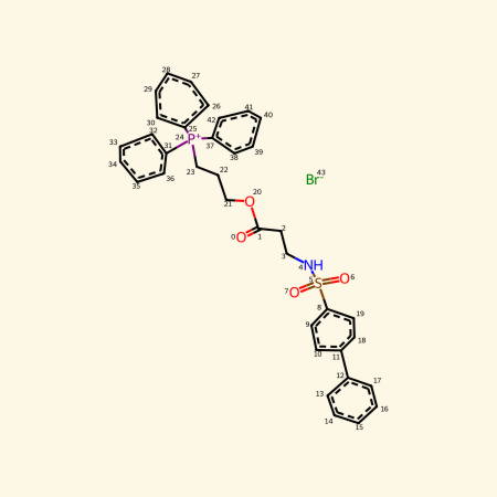 O=C(CCNS(=O)(=O)c1ccc(-c2ccccc2)cc1)OCCC[P+](c1ccccc1)(c1ccccc1)c1ccccc1.[Br-]